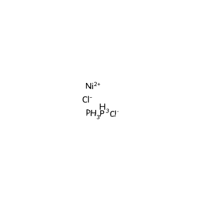 P.P.[Cl-].[Cl-].[Ni+2]